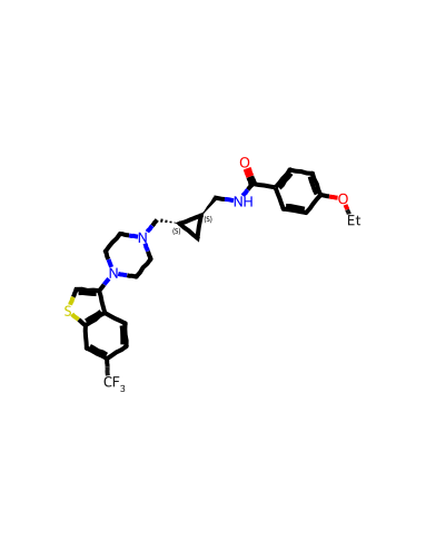 CCOc1ccc(C(=O)NC[C@H]2C[C@@H]2CN2CCN(c3csc4cc(C(F)(F)F)ccc34)CC2)cc1